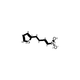 O=[N+]([O-])/C=C/CCc1cccs1